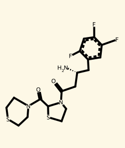 N[C@@H](CC(=O)N1CCSC1C(=O)N1CCSCC1)Cc1cc(F)c(F)cc1F